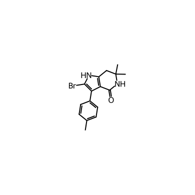 Cc1ccc(-c2c(Br)[nH]c3c2C(=O)NC(C)(C)C3)cc1